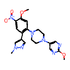 COc1ncc(N2CCN(c3cc(OC)c([N+](=O)[O-])cc3-c3cnn(C)c3)CC2)cn1